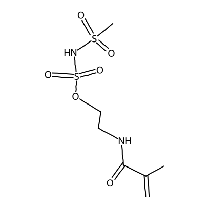 C=C(C)C(=O)NCCOS(=O)(=O)NS(C)(=O)=O